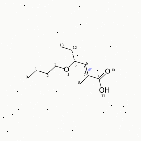 CCCCOC(/C=C(\C)C(=O)O)CC